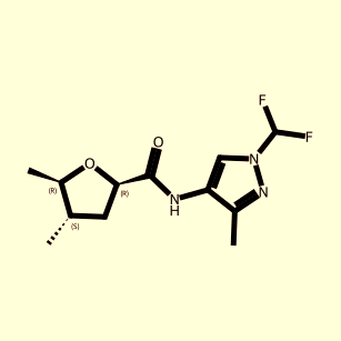 Cc1nn(C(F)F)cc1NC(=O)[C@H]1C[C@H](C)[C@@H](C)O1